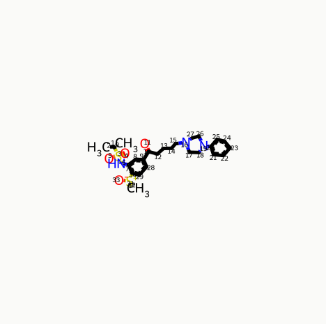 CC(C)S(=O)(=O)Nc1cc(C(=O)CCCCN2CCN(c3ccccc3)CC2)ccc1[S+](C)[O-]